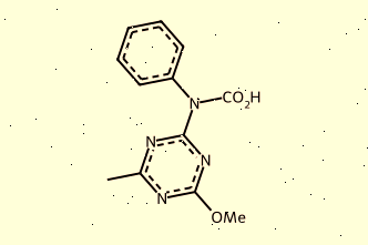 COc1nc(C)nc(N(C(=O)O)c2ccccc2)n1